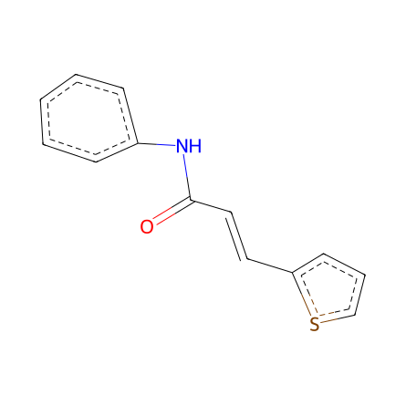 O=C(C=Cc1cccs1)Nc1ccccc1